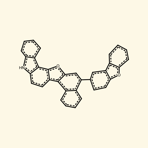 c1ccc2c(c1)[nH]c1ccc3c(oc4cc(-c5ccc6oc7ccccc7c6c5)c5ccccc5c43)c12